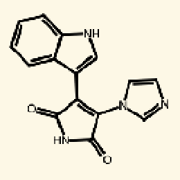 O=C1NC(=O)C(n2ccnc2)=C1c1c[nH]c2ccccc12